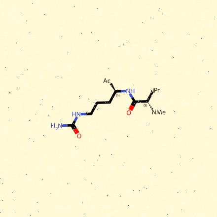 CN[C@H](C(=O)N[C@@H](CCCNC(N)=O)C(C)=O)C(C)C